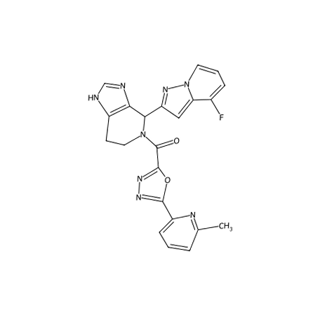 Cc1cccc(-c2nnc(C(=O)N3CCc4[nH]cnc4C3c3cc4c(F)cccn4n3)o2)n1